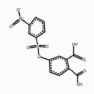 O=C(O)c1ccc(OS(=O)(=O)c2cccc([N+](=O)[O-])c2)cc1C(=O)O